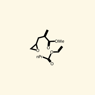 C=C(CC1CO1)C(=O)OC.C=COC(=O)CCC